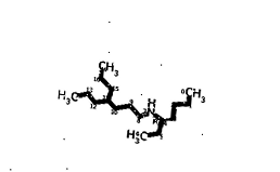 CCCC[C@@H](CC)NCCCC(CCC)CCC